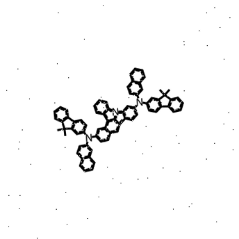 CC1(C)c2ccccc2-c2ccc(N(c3ccc4ccccc4c3)c3ccc4cc5c6ccc(N(c7ccc8c(c7)C(C)(C)c7ccccc7-8)c7ccc8ccccc8c7)cc6n6c7ccccc7c(c4c3)c56)cc21